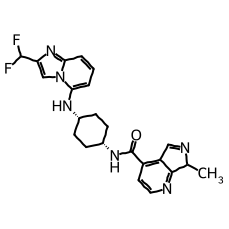 CC1N=Cc2c(C(=O)N[C@H]3CC[C@@H](Nc4cccc5nc(C(F)F)cn45)CC3)ccnc21